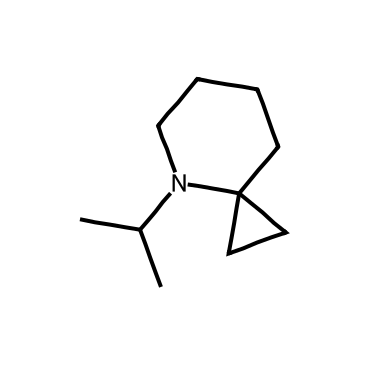 CC(C)N1CCCCC12CC2